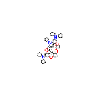 c1ccc(N(c2ccccc2)c2cc3c4c(c2)Oc2cccc5c2B4c2cc4c(cc2O3)N(c2ccccc2)c2cc(N(c3ccccc3)c3ccccc3)cc3c2B4c2c(cccc2O3)O5)cc1